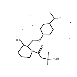 CC(C)C1CCC(OCC2C(N)CCCN2C(=O)CC(C)(C)O)CC1